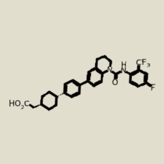 O=C(O)C[C@H]1CC[C@H](c2ccc(-c3ccc4c(c3)CCCN4C(=O)Nc3ccc(F)cc3C(F)(F)F)cc2)CC1